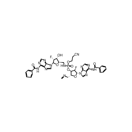 C=NC[C@H]1O[C@@H](n2cnc3c(NC(=O)c4ccccc4)ncnc32)[C@H](F)[C@@H]1OP(=O)(NC[C@H]1O[C@@H](n2cnc3c(NC(=O)c4ccccc4)ncnc32)[C@H](F)[C@@H]1O)OCCC#N